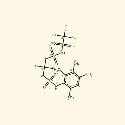 Cc1cc(C)c(NS(=O)(=O)CC(F)(F)CS(=O)(=O)NS(=O)(=O)C(F)(F)F)c(C)c1C